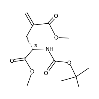 C=C(C[C@H](NC(=O)OC(C)(C)C)C(=O)OC)C(=O)OC